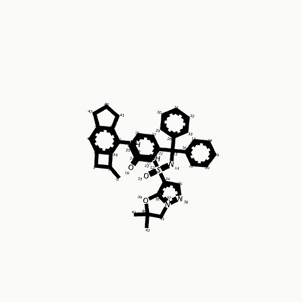 CC1Cc2cc3c(c(NC(=O)NS(=O)(=NC(c4ccccc4)(c4ccccc4)c4ccccc4)c4cnn5c4OC(C)(C)C5)c21)CCC3